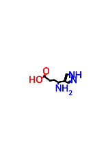 NC(CCC(=O)O)c1cn[nH]c1